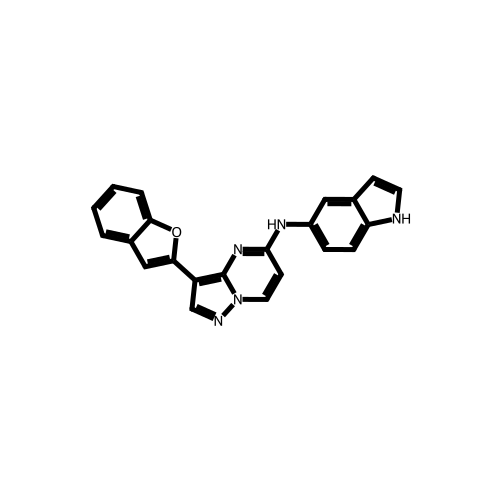 c1ccc2oc(-c3cnn4ccc(Nc5ccc6[nH]ccc6c5)nc34)cc2c1